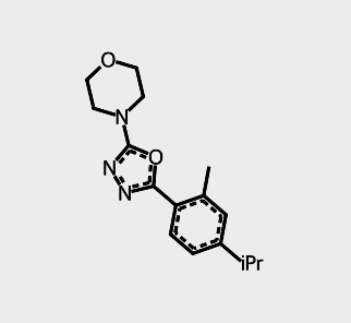 Cc1cc(C(C)C)ccc1-c1nnc(N2CCOCC2)o1